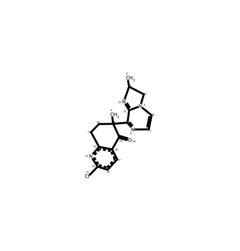 CC1CN2C=CN=C(C3(C)CCc4nc(Cl)ccc4C3=O)C2=N1